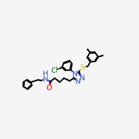 Cc1cc(C)cc(CSc2nnc(CCCCC(=O)NCCc3ccccc3)n2-c2cccc(Cl)c2)c1